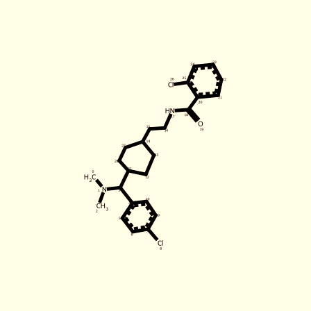 CN(C)C(c1ccc(Cl)cc1)C1CCC(CCNC(=O)c2ccccc2Cl)CC1